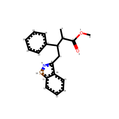 COC(=O)C(C)C(Cc1nsc2ccccc12)c1ccccc1